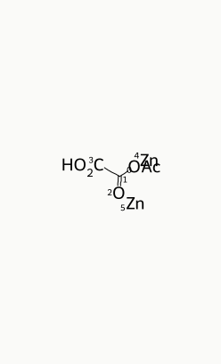 CC(=O)OC(=O)C(=O)O.[Zn].[Zn]